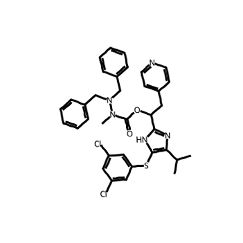 CC(C)c1nc(C(Cc2ccncc2)OC(=O)N(C)N(Cc2ccccc2)Cc2ccccc2)[nH]c1Sc1cc(Cl)cc(Cl)c1